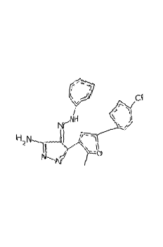 Cc1oc(-c2ccc(Cl)cc2)cc1C1=NN=C(N)/C1=N/Nc1ccccc1